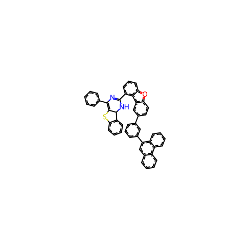 c1ccc(C2=C3Sc4ccccc4C3NC(c3cccc4oc5ccc(-c6cccc(-c7cc8ccccc8c8ccccc78)c6)cc5c34)=N2)cc1